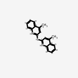 Cc1cc(Sc2cc(C)c3ccccc3n2)nc2ccccc12